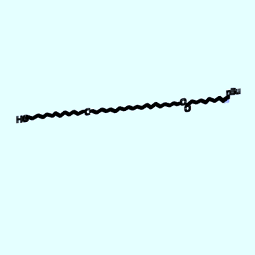 CCCC/C=C\CCCCCCCC(=O)OCCCCCCCCCCCCCCCCCCCCCCCCCCCCCCCCCCO